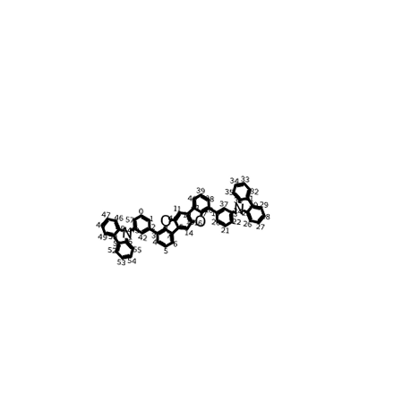 c1cc(-c2cccc3c2oc2cc4c(cc23)oc2c(-c3cccc(-n5c6ccccc6c6ccccc65)c3)cccc24)cc(-n2c3ccccc3c3ccccc32)c1